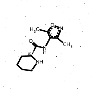 Cc1noc(C)c1NC(=O)[C@@H]1CCCCN1